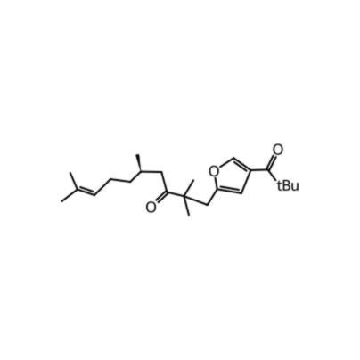 CC(C)=CCC[C@@H](C)CC(=O)C(C)(C)Cc1cc(C(=O)C(C)(C)C)co1